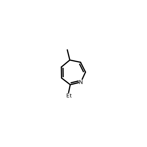 CCC1=NC=CC(C)C=C1